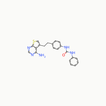 Nc1ncnc2scc(CCc3ccc(NC(=O)Nc4ccccc4)cc3)c12